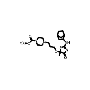 CC(C)(C)OC(=O)N1CCN(CCCOC2(C)SC(NC3CC4CCC3C4)=NC2=O)CC1